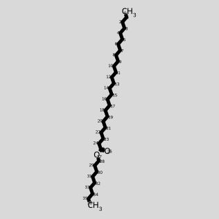 CCCCCCCCCCCCCCCCCCCCCCCCCC(=O)OCCCCCCCCC